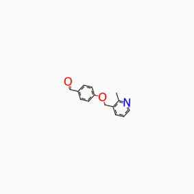 Cc1ncccc1COc1ccc(C=O)cc1